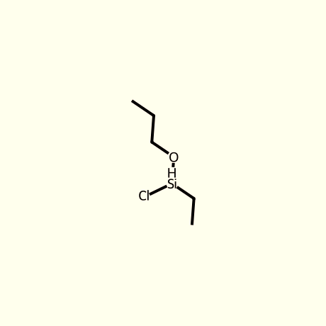 CCCO[SiH](Cl)CC